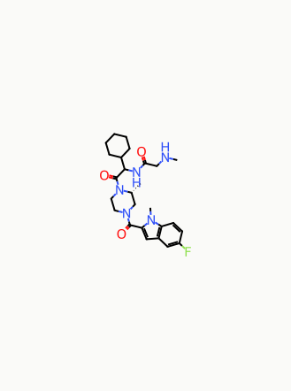 CNCC(=O)NC(C(=O)N1CCN(C(=O)c2cc3cc(F)ccc3n2C)C[C@H]1C)C1CCCCC1